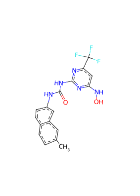 Cc1ccc2ccc(NC(=O)Nc3nc(NO)cc(C(F)(F)F)n3)cc2c1